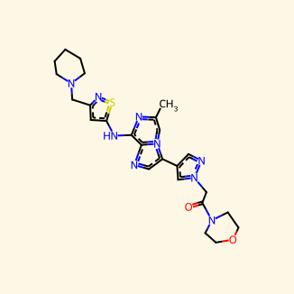 Cc1cn2c(-c3cnn(CC(=O)N4CCOCC4)c3)cnc2c(Nc2cc(CN3CCCCC3)ns2)n1